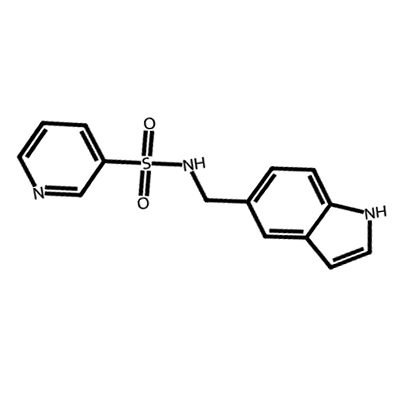 O=S(=O)(NCc1ccc2[nH]ccc2c1)c1cccnc1